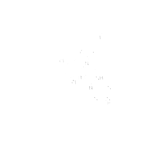 C[C@@H](Nc1ncnc2[nH]cnc12)c1cc2ccc(F)cc2c(=O)n1-c1cc(Cl)cc(Cl)c1